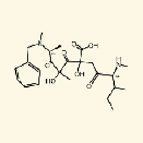 CCC(C)[C@H](NC)C(=O)CC(O)(C(=O)O)C(=O)C(C)(O)C(=O)[C@H](C)N(C)Cc1ccccc1